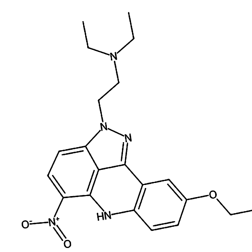 CCOc1ccc2c(c1)-c1nn(CCN(CC)CC)c3ccc([N+](=O)[O-])c(c13)N2